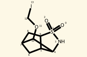 O=S1(=O)NC2C3CC(CC31)C2OCI